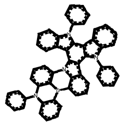 c1ccc(N2c3ccccc3B3c4c2cccc4-n2c4c3cccc4c3c4c(c5ccccc5n4-c4ccccc4)c4c(c5ccccc5n4-c4ccccc4)c32)cc1